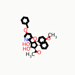 COc1ccc([C@@]23Oc4cc(OCc5ccccc5)cnc4[C@]2(O)[C@H](O)[C@H](C(C)=O)[C@H]3c2ccccc2)cc1